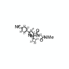 CNC(=O)CNC(=O)c1c(C)c(-c2ccc(C#N)cc2)nn1C1CCC1